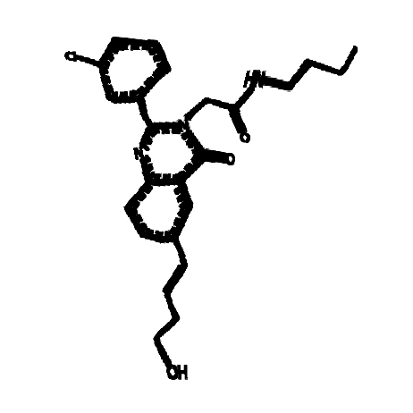 CCCCNC(=O)Cn1c(-c2cccc(Cl)c2)nc2ccc(C=CCCO)cc2c1=O